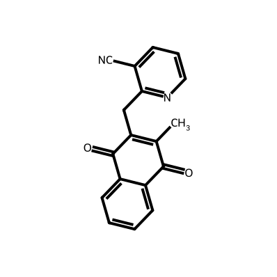 CC1=C(Cc2ncccc2C#N)C(=O)c2ccccc2C1=O